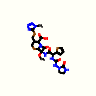 CO[C@@]1(NC(=O)C(NC(=O)NN2CCNC2=O)c2cccs2)C(=O)N2C(C(=O)O)=C(CSc3nnnn3C)CSC21